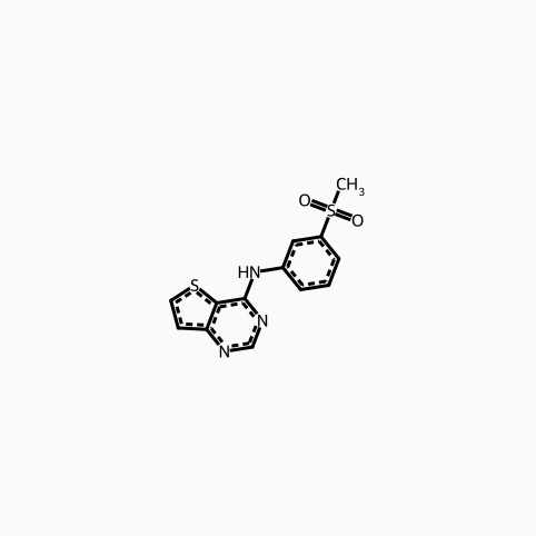 CS(=O)(=O)c1cccc(Nc2ncnc3ccsc23)c1